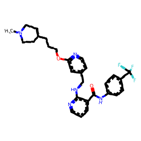 CN1CCC(CCCOc2cc(CNc3ncccc3C(=O)Nc3ccc(C(F)(F)F)cc3)ccn2)CC1